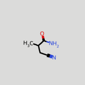 CC(CC#N)C(N)=O